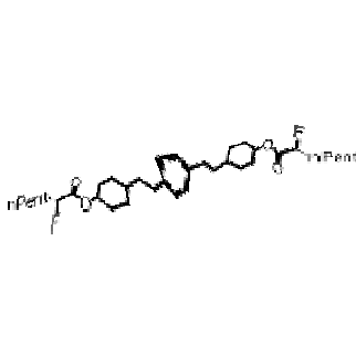 CCCCC[C@@H](F)C(=O)OC1CCC(CCc2ccc(CCC3CCC(OC(=O)[C@H](F)CCCCC)CC3)cc2)CC1